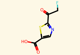 O=C(O)c1cnc(C(=O)CF)s1